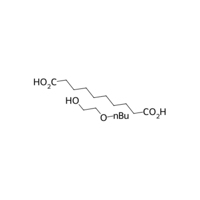 CCCCOCCO.O=C(O)CCCCCCCCC(=O)O